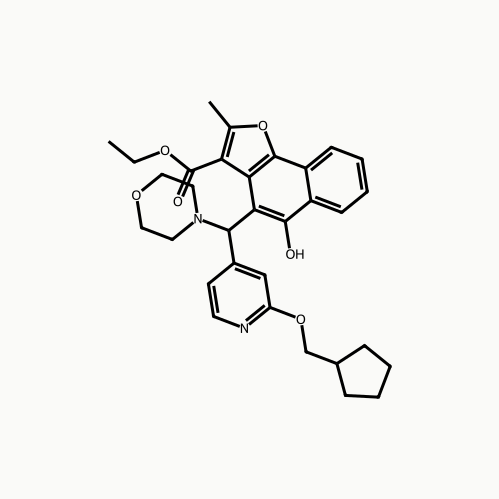 CCOC(=O)c1c(C)oc2c1c(C(c1ccnc(OCC3CCCC3)c1)N1CCOCC1)c(O)c1ccccc12